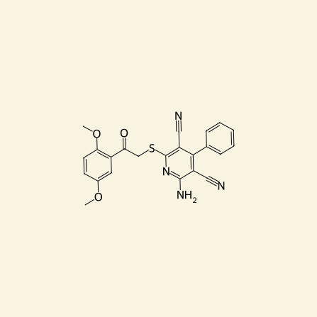 COc1ccc(OC)c(C(=O)CSc2nc(N)c(C#N)c(-c3ccccc3)c2C#N)c1